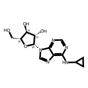 OC[C@H]1O[C@@H](n2cnc3c(NC4CC4)ncnc32)[C@@H](O)[C@@H]1O